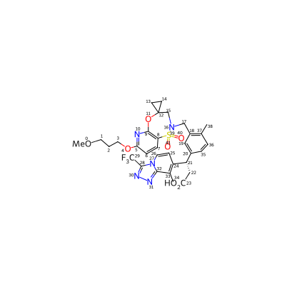 COCCCOc1ccc2c(n1)OC1(CC1)CN(Cc1cc([C@H](CC(=O)O)c3ccn4c(C(F)(F)F)nnc4c3C)ccc1C)S2(=O)=O